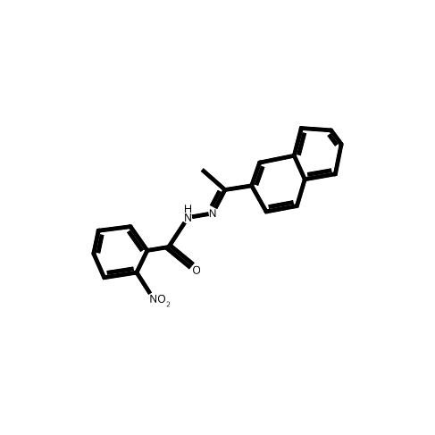 CC(=NNC(=O)c1ccccc1[N+](=O)[O-])c1ccc2ccccc2c1